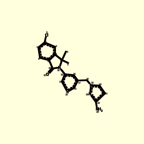 CC1(C)c2cc(Cl)ccc2C(=O)N1c1cncc(Cn2ccc(N)n2)c1